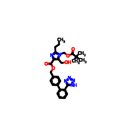 CCCc1nc(C(=O)OCc2ccc(-c3ccccc3-c3nnn[nH]3)cc2)c(CO)n1COC(=O)C(C)(C)C